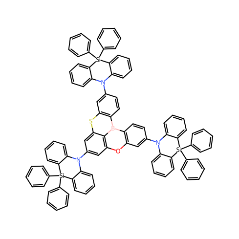 c1ccc([Si]2(c3ccccc3)c3ccccc3N(c3ccc4c(c3)Oc3cc(N5c6ccccc6[Si](c6ccccc6)(c6ccccc6)c6ccccc65)cc5c3B4c3ccc(N4c6ccccc6[Si](c6ccccc6)(c6ccccc6)c6ccccc64)cc3S5)c3ccccc32)cc1